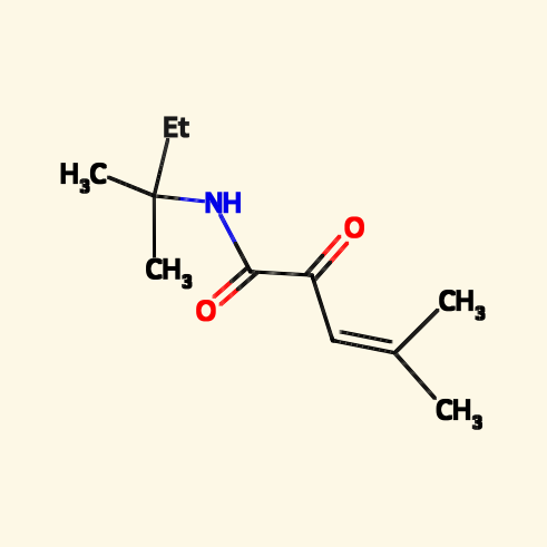 CCC(C)(C)NC(=O)C(=O)C=C(C)C